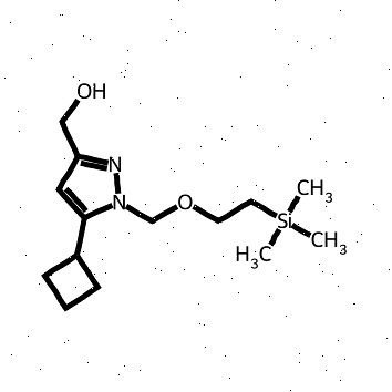 C[Si](C)(C)CCOCn1nc(CO)cc1C1CCC1